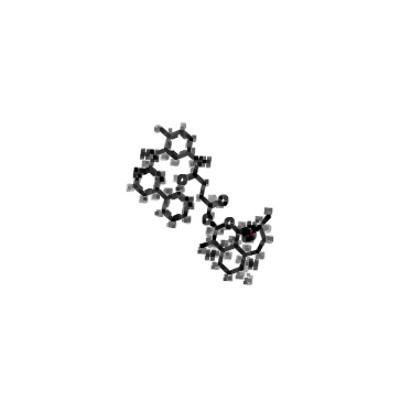 Cc1ccc(NC(=O)CCC(=O)O[C@H]2O[C@@H]3O[C@@]4(C)CC[C@H]5[C@H](C)CC[C@@H]([C@H]2C)[C@@]35OO4)cc1Nc1nccc(-c2cccnc2)n1